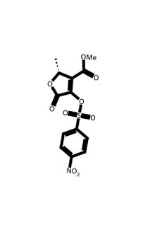 COC(=O)C1=C(OS(=O)(=O)c2ccc([N+](=O)[O-])cc2)C(=O)O[C@@H]1C